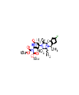 CC(c1ccc(F)cc1C(F)(F)F)N1C[C@H](C)N(c2cc(=O)[nH]c(N(C(=O)OC(C)(C)C)C(=O)OC(C)(C)C)c2[N+](=O)[O-])C[C@H]1C